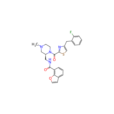 CN1CCN(C(=O)c2nc(Cc3ccccc3F)cs2)[C@@H](CNC(=O)c2cccc3ccoc23)C1